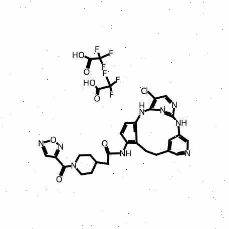 O=C(CC1CCN(C(=O)c2cnon2)CC1)Nc1ccc2cc1CCc1cncc(c1)Nc1ncc(Cl)c(n1)N2.O=C(O)C(F)(F)F.O=C(O)C(F)(F)F